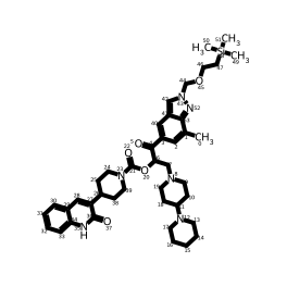 Cc1cc(C(=O)C(CN2CCC(N3CCCCC3)CC2)OC(=O)N2CCC(c3cc4ccccc4[nH]c3=O)CC2)cc2cn(COCC[Si](C)(C)C)nc12